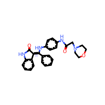 O=C(CN1CCOCC1)Nc1ccc(N/C(=C2\C(=O)Nc3ccccc32)c2ccccc2)cc1